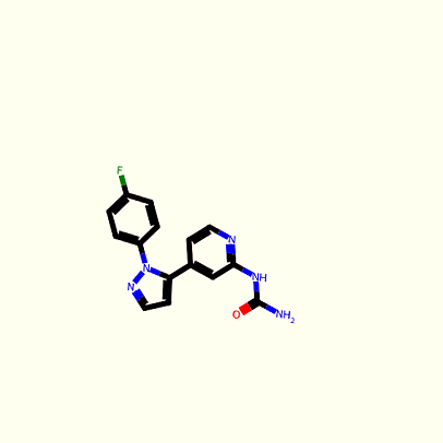 NC(=O)Nc1cc(-c2ccnn2-c2ccc(F)cc2)ccn1